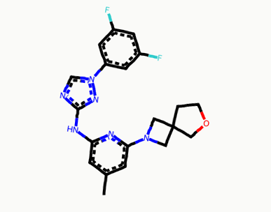 Cc1cc(Nc2ncn(-c3cc(F)cc(F)c3)n2)nc(N2CC3(CCOC3)C2)c1